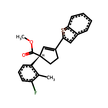 COC(=O)[C@]1(c2cccc(F)c2C)C=C(c2cc3ccccc3s2)CC1